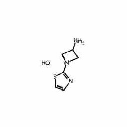 Cl.NC1CN(c2nccs2)C1